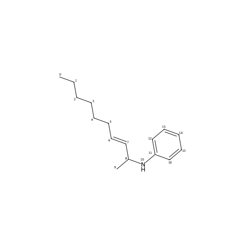 CCCCCCC=CC(C)Nc1ccccc1